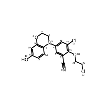 N#Cc1cc(N2CCOc3cc(O)ccc32)cc(Cl)c1OCCCl